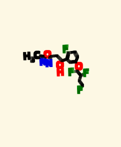 Cc1nnc(CC(O)c2cc(OC(F)C(F)CCF)ccc2F)o1